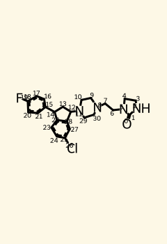 O=C1NCCN1CCN1CCN(C2CC(c3ccc(F)cc3)c3ccc(Cl)cc32)CC1